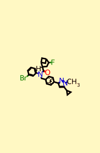 Cn1nc(C23CCC(CN(C(=O)[C@H]4CC(F)C5CC4C5)c4cccc(Br)c4)(CC2)CC3)cc1C1CC1